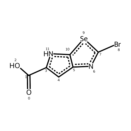 O=C(O)c1cc2nc(Br)[se]c2[nH]1